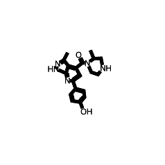 Cc1n[nH]c2nc(-c3ccc(O)cc3)cc(C(=O)N3CCNCC3C)c12